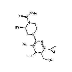 CCCc1c(C#N)c(N2CCN(C(=O)NC)[C@H](C(C)C)C2)nc(C2CC2)c1CO